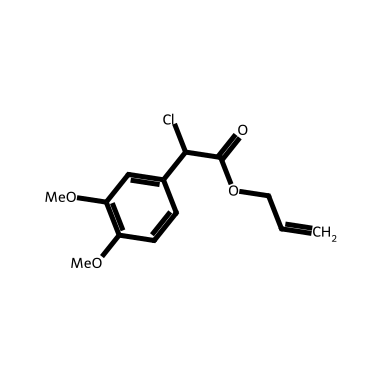 C=CCOC(=O)C(Cl)c1ccc(OC)c(OC)c1